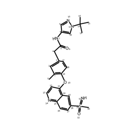 Cc1cc(CC(=O)Nc2cnn(C(C)(C)C)c2)ccc1Oc1ccnc2ccc(S(C)(=N)=O)cc12